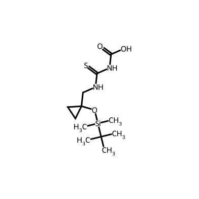 CC(C)(C)[Si](C)(C)OC1(CNC(=S)NC(=O)O)CC1